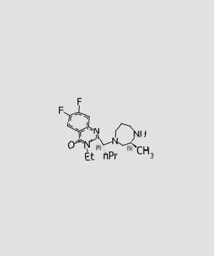 CCC[C@H](c1nc2cc(F)c(F)cc2c(=O)n1CC)N1CCCN[C@@H](C)C1